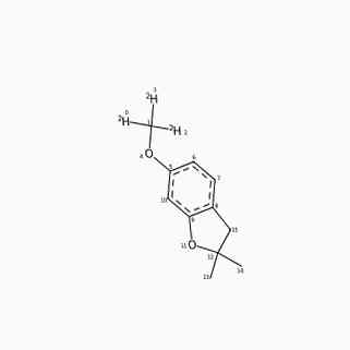 [2H]C([2H])([2H])Oc1ccc2c(c1)OC(C)(C)C2